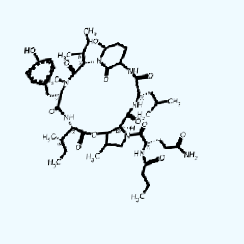 CCCC(=O)N[C@@H](CCC(N)=O)C(=O)N1CC(C)C2OC(=O)[C@H]([C@@H](C)CC)NC(=O)[C@H](Cc3ccc(O)cc3)N(C)C(=O)[C@H]([C@@H](C)CC)N3C(=O)C(CCC3O)NC(=O)[C@H](CC(C)C)NC(=O)[C@H]21